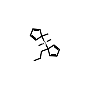 CCC[C]1([Zr]([CH3])([CH3])[C]2(C)C=CC=C2)C=CC=C1